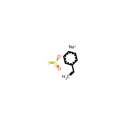 C=Cc1ccccc1.O=[SH]([O-])=S.[Na+]